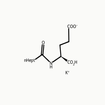 CCCCCCCC(=O)N[C@@H](CCC(=O)[O-])C(=O)O.[K+]